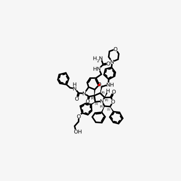 NC(=O)NCC1=CC2C(C=C1)N(C(=O)NCc1ccccc1)C(=O)[C@]21[C@H](c2ccc(OCCO)cc2)N2[C@H](C3=CCCC=C3)[C@H](c3ccccc3)OC(=O)[C@H]2[C@@H]1C(=O)Nc1ccc(N2CCOCC2)cc1